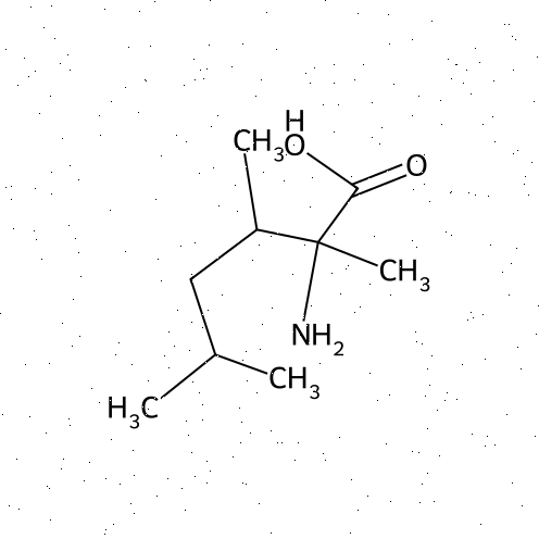 CC(C)CC(C)C(C)(N)C(=O)O